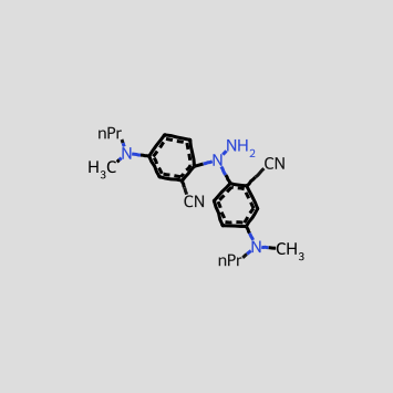 CCCN(C)c1ccc(N(N)c2ccc(N(C)CCC)cc2C#N)c(C#N)c1